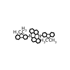 CC1(C)c2ccccc2-c2ccc(-n3c4ccc5cccc6c5c4-c4c5c(cccc53)ccc4n6-c3ccc4c(c3)C(C)(C)c3ccccc3-4)cc21